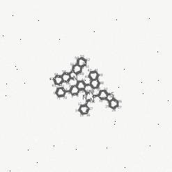 c1ccc(-c2ccc3c(-c4nc(-c5ccccc5)nc(-c5ccc6sc7ccccc7c6c5)n4)c(-c4cccc5ccccc45)cc(-n4c5cc6ccccc6cc5c5cc6ccccc6cc54)c3c2)cc1